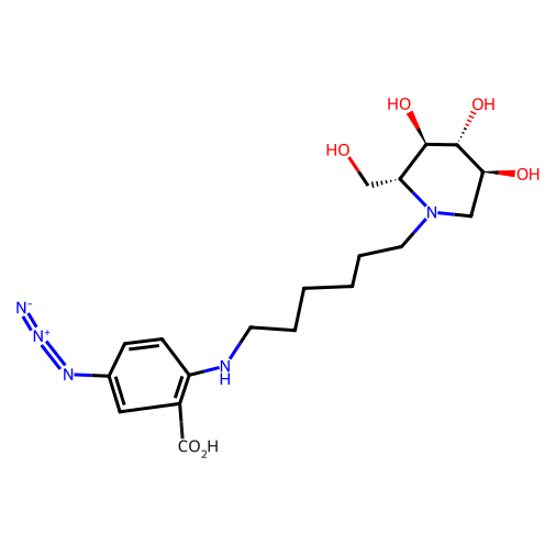 [N-]=[N+]=Nc1ccc(NCCCCCCN2C[C@H](O)[C@@H](O)[C@H](O)[C@H]2CO)c(C(=O)O)c1